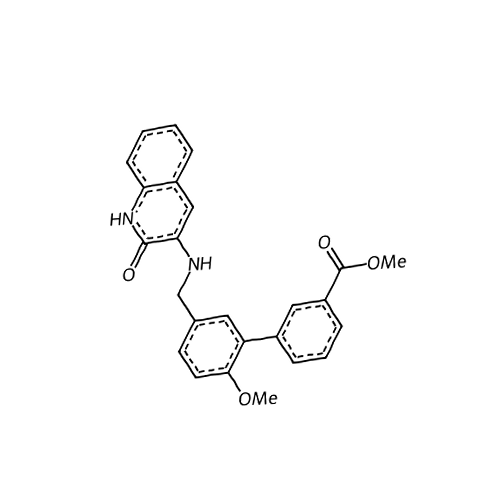 COC(=O)c1cccc(-c2cc(CNc3cc4ccccc4[nH]c3=O)ccc2OC)c1